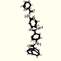 O=C(Nc1cc2nc(-c3ccc(NC(=O)C45CC6CC(CC(C6)C4)C5)cc3)[nH]c2cn1)c1ccccn1